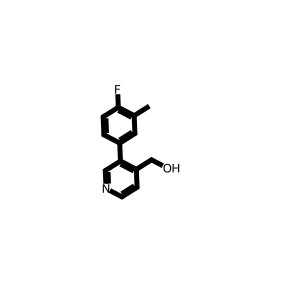 Cc1cc(-c2cnccc2CO)ccc1F